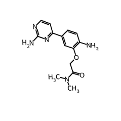 CN(C)C(=O)COc1cc(-c2ccnc(N)n2)ccc1N